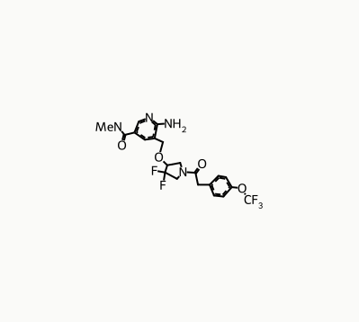 CNC(=O)c1cnc(N)c(COC2CN(C(=O)Cc3ccc(OC(F)(F)F)cc3)CC2(F)F)c1